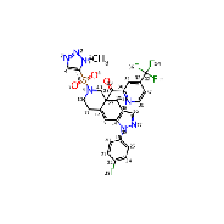 Cn1nncc1S(=O)(=O)N1CCC2=Cc3c(cnn3-c3ccc(F)cc3)CC2(C(=O)c2cc(C(F)(F)F)ccn2)C1